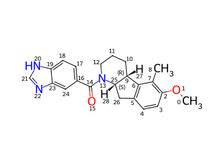 COc1ccc2c(c1C)[C@H]1CCCN(C(=O)c3ccc4[nH]cnc4c3)[C@H]1C2